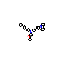 c1ccc(-c2ccc(-c3ccc(N(c4ccc(-c5ccc6c(c5)c5cccc7c8ccccc8n6c75)cc4)c4ccc5c(c4)oc4ccccc45)cc3)cc2)cc1